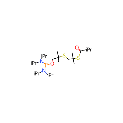 CC(C)C(=O)SC(C)(C)CSC(C)(C)COP(N(C(C)C)C(C)C)N(C(C)C)C(C)C